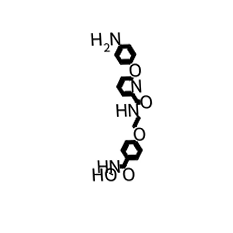 Nc1ccc(Oc2cccc(C(=O)NCCOc3ccc(C(=O)NO)cc3)n2)cc1